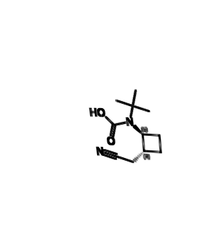 CC(C)(C)N(C(=O)O)[C@H]1CC[C@@H]1CC#N